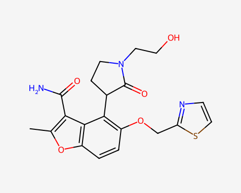 Cc1oc2ccc(OCc3nccs3)c(C3CCN(CCO)C3=O)c2c1C(N)=O